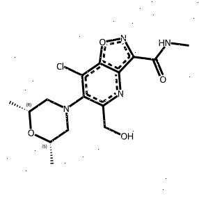 CNC(=O)c1noc2c(Cl)c(N3C[C@@H](C)O[C@@H](C)C3)c(CO)nc12